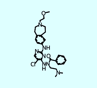 COCCN1CCc2ccc(Nc3ncc(Cl)c(NN(CCN(C)C)C(=O)c4ccccc4)n3)cc2CC1